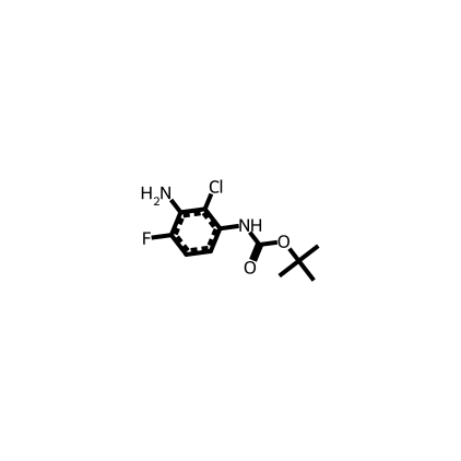 CC(C)(C)OC(=O)Nc1ccc(F)c(N)c1Cl